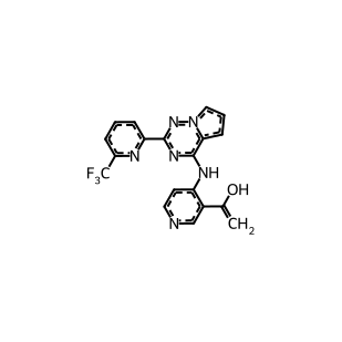 C=C(O)c1cnccc1Nc1nc(-c2cccc(C(F)(F)F)n2)nn2cccc12